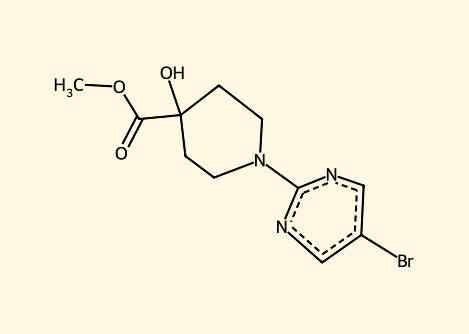 COC(=O)C1(O)CCN(c2ncc(Br)cn2)CC1